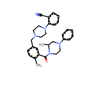 Cc1ccc(CN2CCN(c3ccccc3C#N)CC2)cc1C(=O)N1CCN(c2ccccc2)CC1C